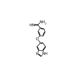 N=C(N)c1cccc(Oc2ccc3[nH]cnc3c2)c1